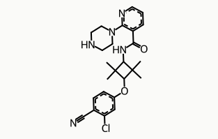 CC1(C)C(NC(=O)c2cccnc2N2CCNCC2)C(C)(C)C1Oc1ccc(C#N)c(Cl)c1